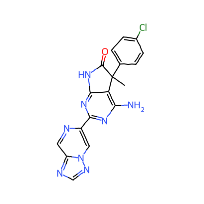 CC1(c2ccc(Cl)cc2)C(=O)Nc2nc(-c3cn4ncnc4cn3)nc(N)c21